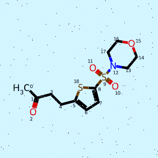 CC(=O)CCc1ccc(S(=O)(=O)N2CCOCC2)s1